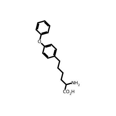 NC(CCCCc1ccc(Oc2ccccc2)cc1)C(=O)O